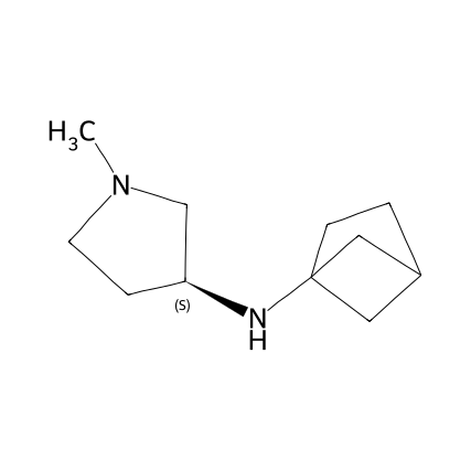 CN1CC[C@H](NC23CCC(C2)C3)C1